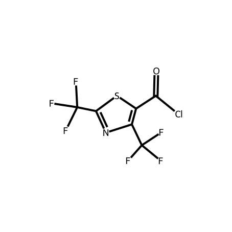 O=C(Cl)c1sc(C(F)(F)F)nc1C(F)(F)F